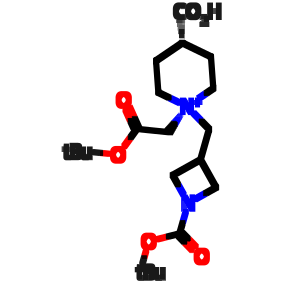 CC(C)(C)OC(=O)C[N@+]1(CC2CN(C(=O)OC(C)(C)C)C2)CC[C@@H](C(=O)O)CC1